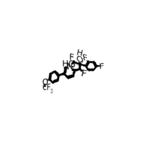 OC(F)C(O)(c1ccc(F)cc1F)C(F)c1ccc(-c2ccc(OC(F)(F)F)cc2)cn1